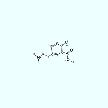 COC(=O)c1cc(CCN(C)C)ncc1Cl